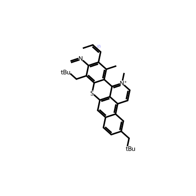 C=Nc1c(/C=C\C)c(C)c2c(c1CC(C)(C)C)Sc1cc3ccc(CC(C)(C)C)cc3c3cc[n+](C)c-2c13